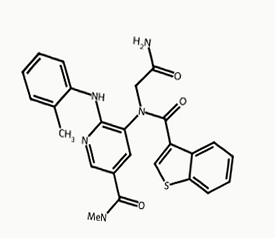 CNC(=O)c1cnc(Nc2ccccc2C)c(N(CC(N)=O)C(=O)c2csc3ccccc23)c1